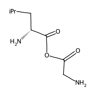 CC(C)C[C@@H](N)C(=O)OC(=O)CN